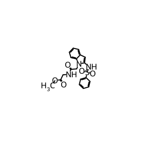 COC(=O)CNC(=O)Cn1c(NS(=O)(=O)c2ccccc2)cc2ccccc21